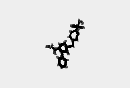 CS(=O)(=O)N1CCN(Cc2ncc(NC(=O)O)c(-c3ccccc3)n2)CC1